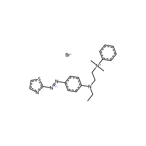 CCN(CC[N+](C)(C)c1ccccc1)c1ccc(/N=N/c2nccs2)cc1.[Br-]